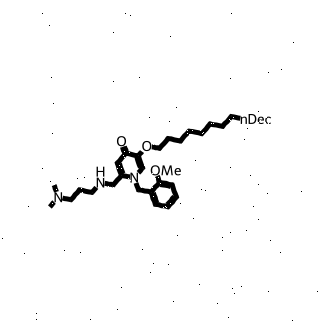 CCCCCCCCCCCCCCCCCCOc1cn(Cc2ccccc2OC)c(CNCCCN(C)C)cc1=O